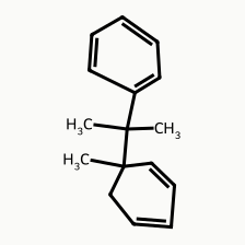 CC1(C(C)(C)c2ccccc2)C=CC=CC1